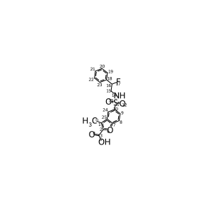 Cc1c(C(=O)O)oc2ccc(S(=O)(=O)NCC(F)c3ccccc3)cc12